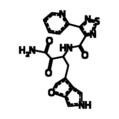 NC(=O)C(=O)C(Cc1coc2c[nH]cc12)NC(=O)c1nsnc1-c1ccccn1